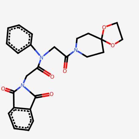 O=C(CN(C(=O)CN1C(=O)c2ccccc2C1=O)c1ccccc1)N1CCC2(CC1)OCCO2